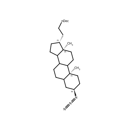 CCCCCCCCCCCC[C@H]1CCC2C3CCC4C[C@H](N=[N+]=[N-])CC[C@]4(C)C3CC[C@@]21C